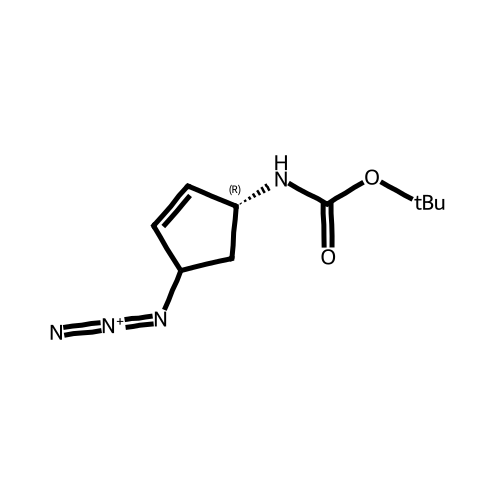 CC(C)(C)OC(=O)N[C@H]1C=CC(N=[N+]=[N-])C1